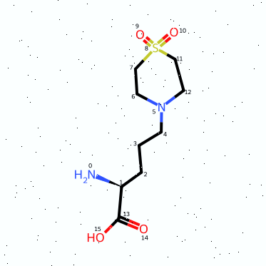 N[C@@H](CCCN1CCS(=O)(=O)CC1)C(=O)O